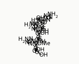 COC1[C@@H](COP(O)(=S)O[C@H]2C(O)[C@@H](COP(O)(=S)O[C@H]3C(OC)[C@@H](COP(=O)(O)OCCO)O[C@H]3n3cnc4c(N)ncnc43)O[C@H]2n2cnc3c(N)ncnc32)O[C@@H](n2cnc3c(N)ncnc32)[C@H]1OP(=O)(O)S